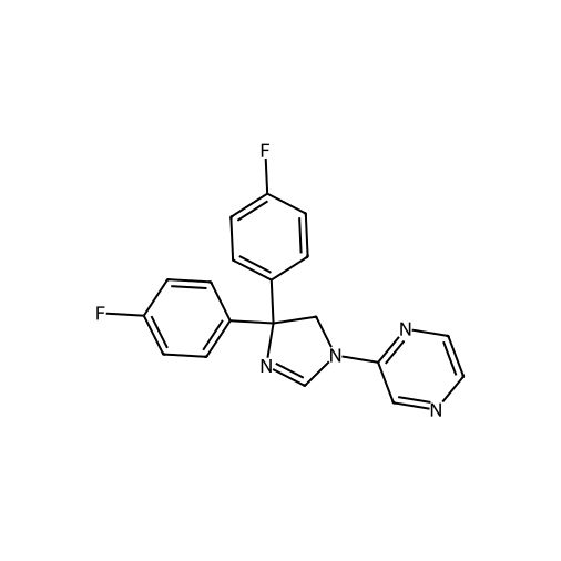 Fc1ccc(C2(c3ccc(F)cc3)CN(c3cnccn3)C=N2)cc1